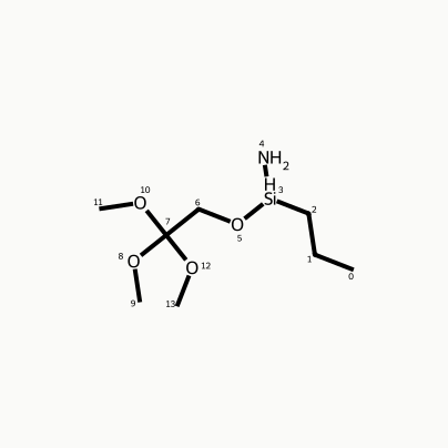 CCC[SiH](N)OCC(OC)(OC)OC